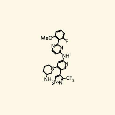 COc1cccc(F)c1-c1nccc(Nc2cc(N3CCC[C@H](N)C3)c(-c3cn(C)nc3C(F)(F)F)cn2)n1